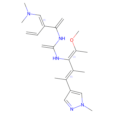 C=C/C(=C\N(C)C)C(=C)NC(=C)NC(=C(/C)OC)/C(C)=C(\C)c1cnn(C)c1